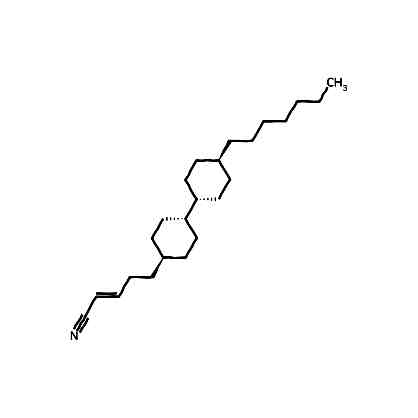 CCCCCCC[C@H]1CC[C@H]([C@H]2CC[C@H](CCC=CC#N)CC2)CC1